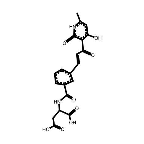 Cc1cc(O)c(C(=O)C=Cc2cccc(C(=O)NC(CC(=O)O)C(=O)O)c2)c(=O)[nH]1